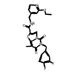 CCOc1cc(CNC(=O)c2cn3c(=O)n(Cc4ccc(F)c(F)c4)c(=O)c(C)c3s2)ccn1